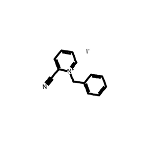 N#Cc1cccc[n+]1Cc1ccccc1.[I-]